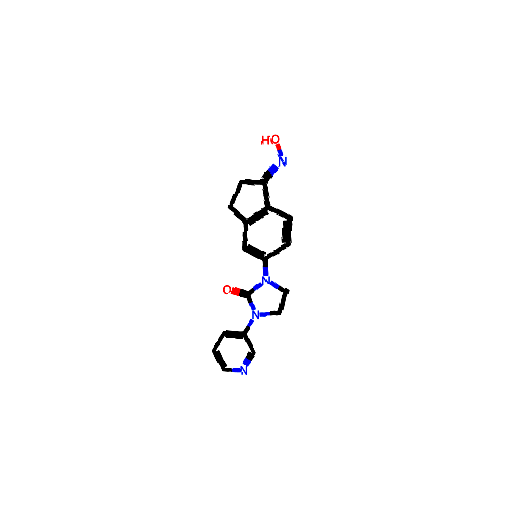 O=C1N(c2cccnc2)CCN1c1ccc2c(c1)CCC2=NO